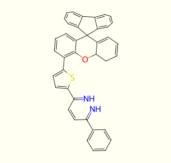 N=C(/C=C\C(=N)c1ccc(-c2cccc3c2OC2CC=CC=C2C32c3ccccc3-c3ccccc32)s1)c1ccccc1